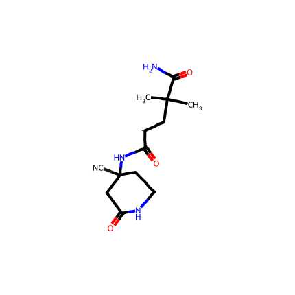 CC(C)(C[CH]C(=O)NC1(C#N)CCNC(=O)C1)C(N)=O